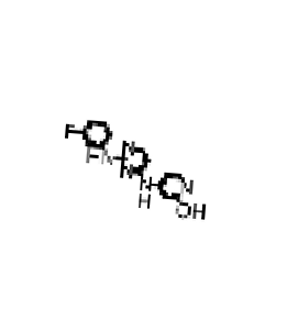 Oc1cc(Nc2ccnc(Nc3cccc(F)c3)n2)ccn1